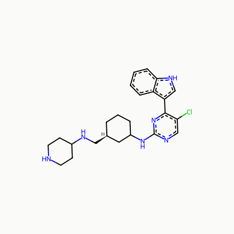 Clc1cnc(NC2CCC[C@H](CNC3CCNCC3)C2)nc1-c1c[nH]c2ccccc12